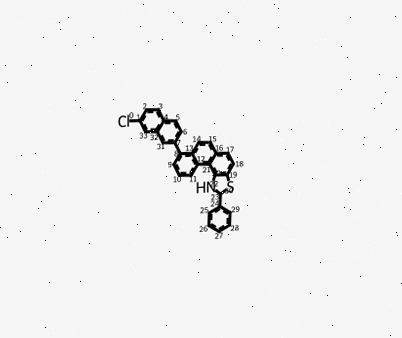 Clc1ccc2ccc(-c3cccc4c3ccc3ccc5c(c34)NC(c3ccccc3)S5)cc2c1